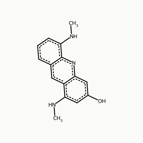 CNc1cc(O)cc2nc3c(NC)cccc3cc12